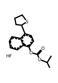 CC(C)OC(=O)Oc1ccc(C2CCCS2)c2ccccc12.F